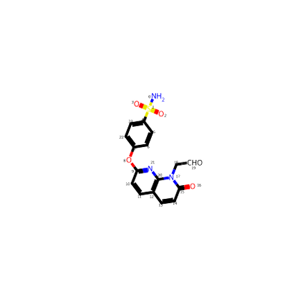 NS(=O)(=O)c1ccc(Oc2ccc3ccc(=O)n(CC=O)c3n2)cc1